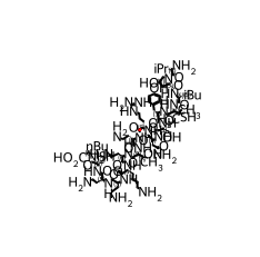 CCCC[C@H](NC(=O)[C@H](CS)NC(=O)[C@H](CCN)NC(=O)[C@H](CCN)NC(=O)[C@H](CCCCN)NC(=O)[C@@H](CCN)NC(=O)[C@@H](NC(=O)[C@H](CCN)NC(=O)[C@H](CCCNC(=N)N)NC(=O)[C@H](CC(N)=O)NC(=O)[C@H](CO)NC(=O)[C@H](Cc1ccc(O)cc1)NC(=O)[C@@H](NC(=O)[C@@H](NC(=O)[C@@H]1C[C@@H](O)CN1C(=O)[C@@H](N)C(C)C)[C@@H](C)CC)C(C)(C)S)[C@@H](C)O)C(=O)O